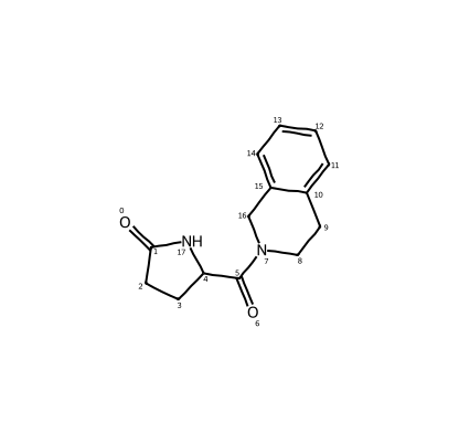 O=C1CCC(C(=O)N2CCc3ccccc3C2)N1